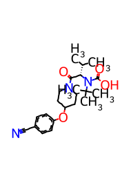 CC(C)[C@@H](C(=O)N1CCC(Oc2ccc(C#N)cc2)CC1)N(C(=O)O)C(C)(C)C